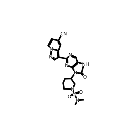 CN(C)S(=O)(=O)N1CCCC(n2c(=O)[nH]c3cnc(-c4cnn5ccc(C#N)cc45)nc32)C1